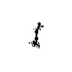 C[C@@H](O)[C@H](NC(=O)c1ccc(C#Cc2ccc(NC(=O)CNC3CCC3)cc2)cc1)C(=O)NO